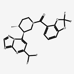 C[C@@H]1CCN(C(=O)c2cccc3c2OC(F)(F)O3)C[C@H]1c1cc(C(F)F)nc2ncnn12